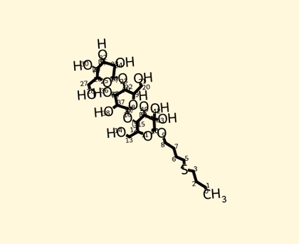 CCCCSCCCCO[C@@H]1OC(CO)[C@@H](O[C@@H]2OC(CO)[C@H](O[C@H]3OC(CO)[C@H](O)[C@H](O)C3O)[C@H](O)C2O)[C@H](O)C1(O)O